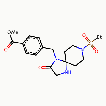 CCS(=O)(=O)N1CCC2(CC1)NCC(=O)N2Cc1ccc(C(=O)OC)cc1